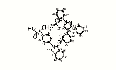 CC(C(=O)O)c1ccc(N2Cc3ccccc3C2=O)cc1.O=C(O)Cc1c(-c2ccccc2)c(-c2ccccc2)nn1-c1ccccc1